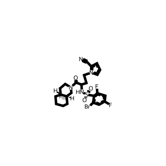 N#Cc1cccn1CCC(NS(=O)(=O)c1c(F)cc(F)cc1Br)C(=O)N1CC[C@H]2CCCC[C@@H]2C1